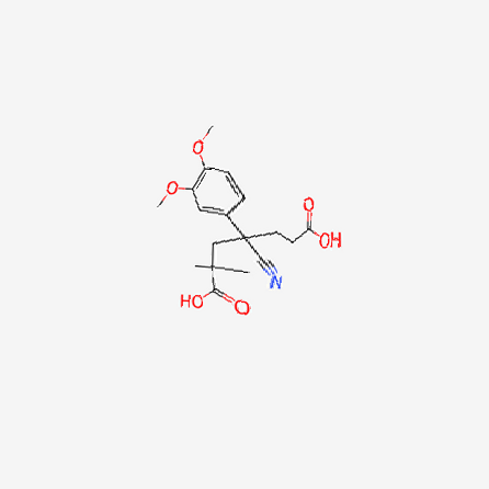 COc1ccc(C(C#N)(CCC(=O)O)CC(C)(C)C(=O)O)cc1OC